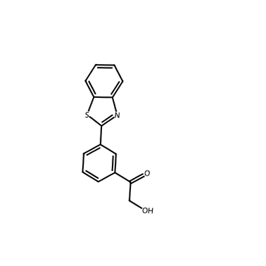 O=C(CO)c1cccc(-c2nc3ccccc3s2)c1